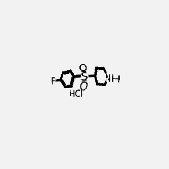 Cl.O=S(=O)(c1ccc(F)cc1)C1CCNCC1